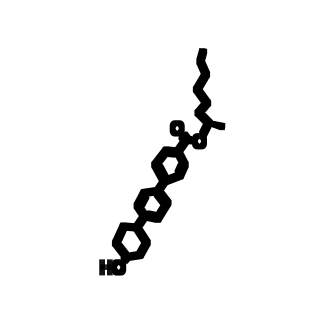 CCCCCC[C@@H](C)OC(=O)c1ccc(-c2ccc(C3CCC(O)CC3)cc2)cc1